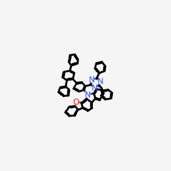 c1ccc(-c2ccc(-c3ccccc3)c(-c3ccc(-n4c5ccccc5c5ccc6c7ccccc7oc6c54)c(-c4nc(-c5ccccc5)nc(-c5ccccc5)n4)c3)c2)cc1